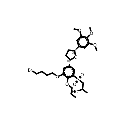 CCCOc1c(OCCCCBr)cc([C@@H]2CC[C@@H](c3cc(OC)c(OC)c(OC)c3)O2)cc1S(=O)(=O)CC(C)O